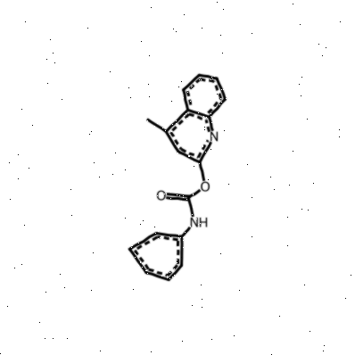 Cc1cc(OC(=O)Nc2ccccc2)nc2ccccc12